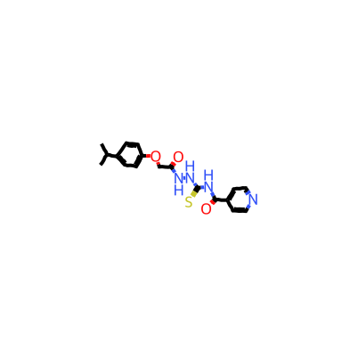 CC(C)c1ccc(OCC(=O)NNC(=S)NC(=O)c2ccncc2)cc1